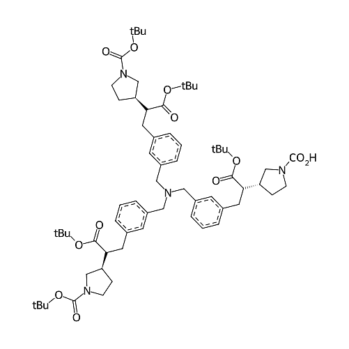 CC(C)(C)OC(=O)C(Cc1cccc(CN(Cc2cccc(CC(C(=O)OC(C)(C)C)[C@H]3CCN(C(=O)OC(C)(C)C)C3)c2)Cc2cccc(CC(C(=O)OC(C)(C)C)[C@H]3CCN(C(=O)OC(C)(C)C)C3)c2)c1)[C@H]1CCN(C(=O)O)C1